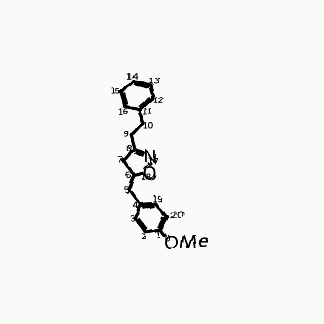 COc1ccc(CC2CC(CCc3ccccc3)=NO2)cc1